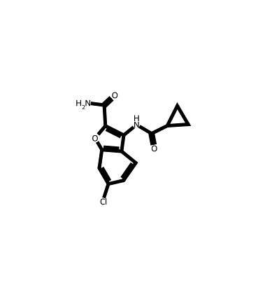 NC(=O)c1oc2cc(Cl)ccc2c1NC(=O)C1CC1